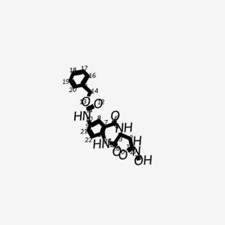 O=C(CC1NC(=O)c2cc(NC(=O)OCc3ccccc3)ccc2NC1=O)NO